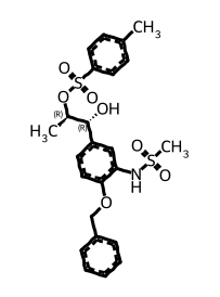 Cc1ccc(S(=O)(=O)O[C@H](C)[C@H](O)c2ccc(OCc3ccccc3)c(NS(C)(=O)=O)c2)cc1